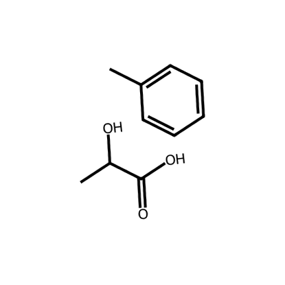 CC(O)C(=O)O.Cc1ccccc1